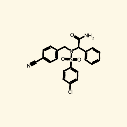 N#Cc1ccc(CN(C(C(N)=O)c2ccccc2)S(=O)(=O)c2ccc(Cl)cc2)cc1